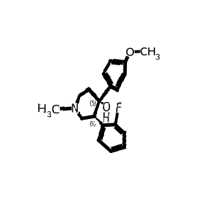 COc1ccc([C@]2(O)CCN(C)C[C@@H]2c2ccccc2F)cc1